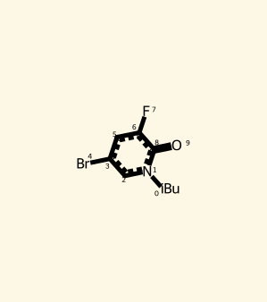 CCC(C)n1cc(Br)cc(F)c1=O